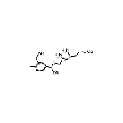 COCCN(N)/C=C(\N)COC(c1ccc(C)c(CO)c1)C(C)(C)C